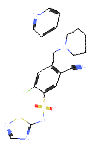 N#Cc1cc(S(=O)(=O)Nc2ncns2)c(F)cc1CN1CCCC[C@H]1c1ccncc1